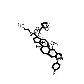 C[C@]12Cc3cnn(-c4ccc(F)cc4)c3C=C1CC[C@@H]1[C@@H]2[C@@H](O)C[C@@]2(C)[C@H]1CC[C@]2(OC(=O)c1ccno1)C(=O)SCCO